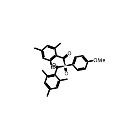 COc1ccc(P(=O)(C(=O)c2c(C)cc(C)cc2C)C(=O)c2c(C)cc(C)cc2C(C)(C)C)cc1